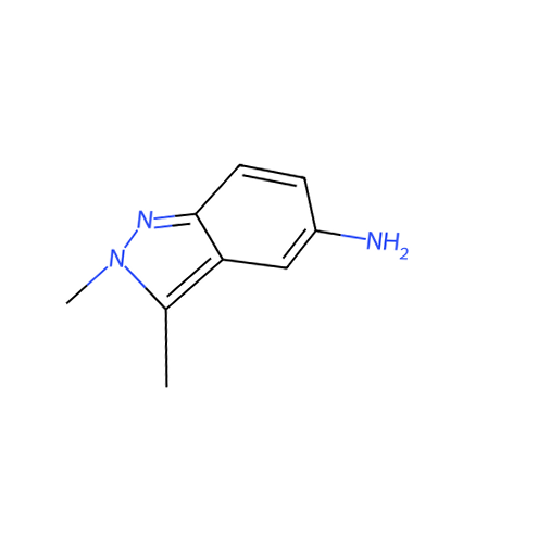 Cc1c2cc(N)ccc2nn1C